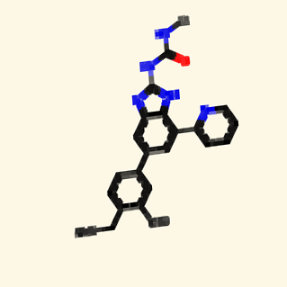 CCNC(=O)Nc1nc2cc(-c3ccc(CNC)c(C=O)c3)cc(-c3ccccn3)c2[nH]1